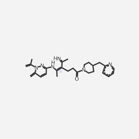 C=C(C)N1N=C(N/C(C)=C(/CCC(=O)N2CCC(Cc3ccccn3)CC2)C(C)=N)C=CC1=C